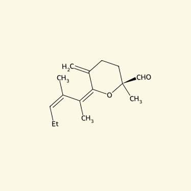 C=C1CC[C@@](C)(C=O)O/C1=C(C)/C(C)=C\CC